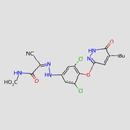 CCC(C)c1cc(Oc2c(Cl)cc(NN=C(C#N)C(=O)NC(=O)O)cc2Cl)n[nH]c1=O